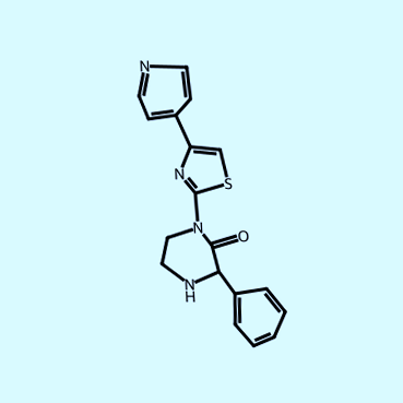 O=C1C(c2ccccc2)NCCN1c1nc(-c2ccncc2)cs1